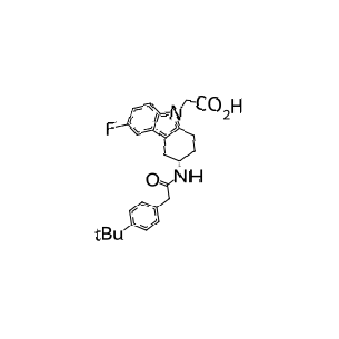 CC(C)(C)c1ccc(CC(=O)N[C@H]2CCc3c(c4cc(F)ccc4n3CC(=O)O)C2)cc1